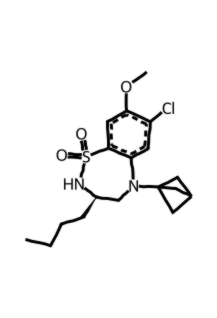 CCCC[C@@H]1CN(C23CC(C2)C3)c2cc(Cl)c(OC)cc2S(=O)(=O)N1